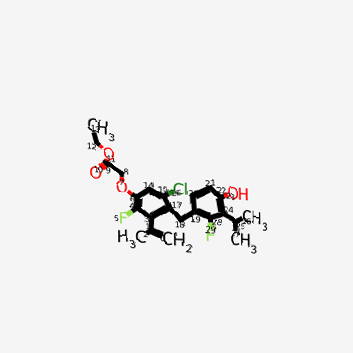 C=C(C)c1c(F)c(OCC(=O)OCC)cc(Cl)c1Cc1ccc(O)c(C(C)C)c1F